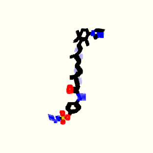 CC1=C(/C=C/C(C)=C/C=C/C(C)=C/C(=O)Nc2ccc(OS(N)(=O)=O)cc2)C(C)(C)CCC1n1ccnc1